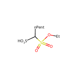 CCCCCC(S(=O)(=O)O)S(=O)(=O)OCC